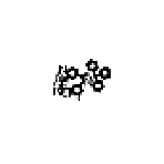 O=S(=O)(Oc1ncnc2ccc(-c3cn(C(c4ccccc4)(c4ccccc4)c4ccccc4)nc3-c3ccc(F)cc3)cc12)C(F)(F)F